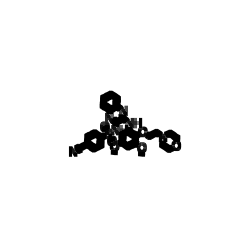 COc1cc(Nc2nc3ccccc3nc2NS(=O)(=O)c2ccc(C#N)cc2)c(OCCN2CCOCC2)c(OC)c1